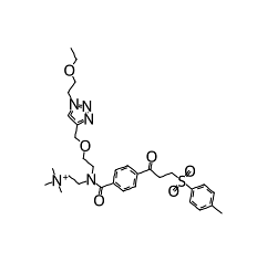 CCOCCn1cc(COCCN(CC[N+](C)(C)C)C(=O)c2ccc(C(=O)CCS(=O)(=O)c3ccc(C)cc3)cc2)nn1